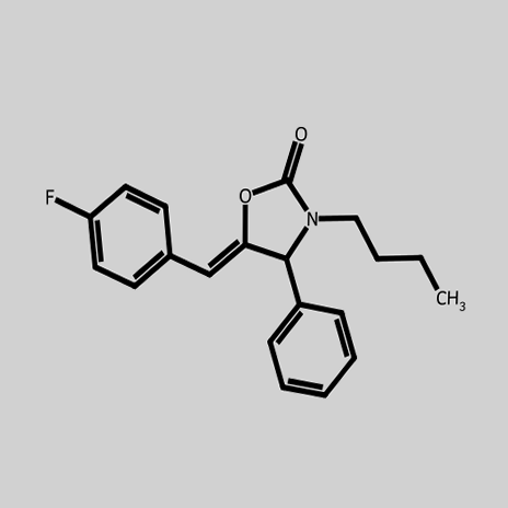 CCCCN1C(=O)O/C(=C\c2ccc(F)cc2)C1c1ccccc1